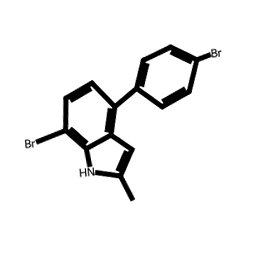 Cc1cc2c(-c3ccc(Br)cc3)ccc(Br)c2[nH]1